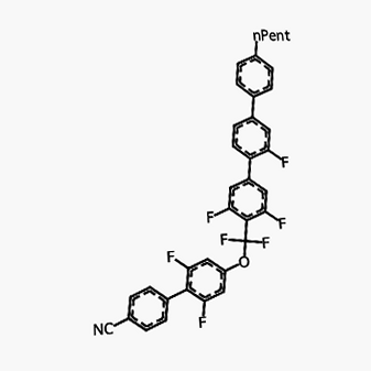 CCCCCc1ccc(-c2ccc(-c3cc(F)c(C(F)(F)Oc4cc(F)c(-c5ccc(C#N)cc5)c(F)c4)c(F)c3)c(F)c2)cc1